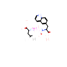 BO.CC(C)C[C@H](N)C(=O)O.O=C=NC(Cc1ccc2ncccc2c1)C(=O)O